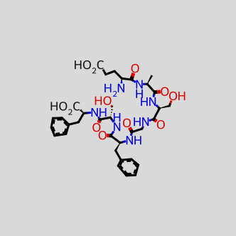 C[C@H](NC(=O)[C@@H](N)CCC(=O)O)C(=O)N[C@@H](CO)C(=O)NCC(=O)N[C@@H](Cc1ccccc1)C(=O)N[C@@H](CO)C(=O)N[C@@H](Cc1ccccc1)C(=O)O